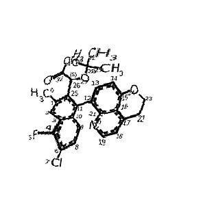 Cc1cc2c(F)c(Cl)ccc2c(-c2ccc3c4c(ccnc24)CCO3)c1[C@H](OC(C)(C)C)C(=O)O